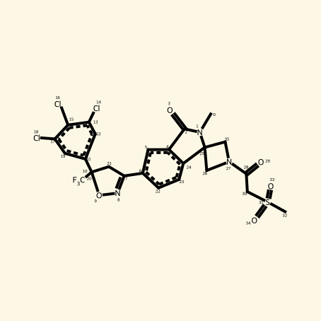 CN1C(=O)c2cc(C3=NOC(c4cc(Cl)c(Cl)c(Cl)c4)(C(F)(F)F)C3)ccc2C12CN(C(=O)CS(C)(=O)=O)C2